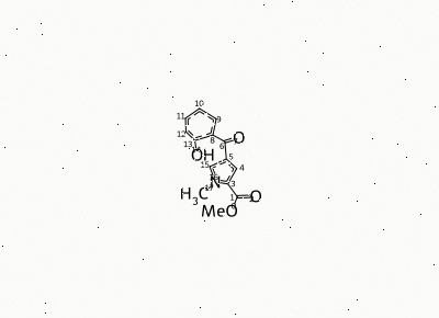 COC(=O)c1cc(C(=O)c2ccccc2O)cn1C